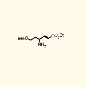 CCOC(=O)/C=C/[C@@H](N)CCOC